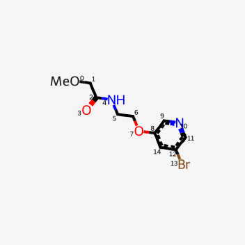 COCC(=O)NCCOc1cncc(Br)c1